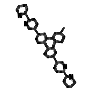 Cc1ccc2c(c1)c1cc(-c3ccc(-c4ccccn4)nc3)ccc1c1ccc(-c3ccc(-c4ccccn4)nc3)cc12